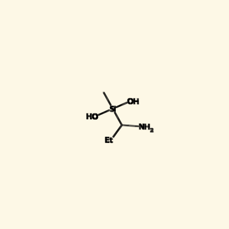 CCC(N)[Si](C)(O)O